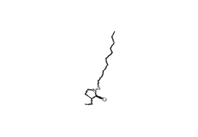 CCCCCCCCCCSN1CCC(CC)C1=O